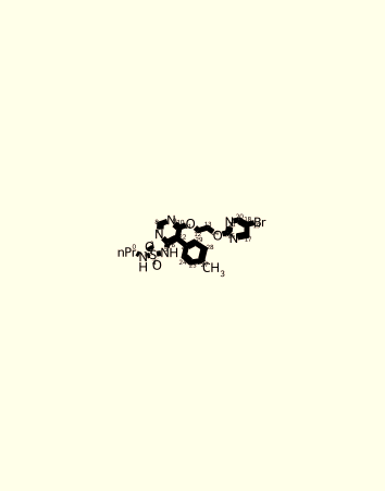 CCCNS(=O)(=O)Nc1ncnc(OCCOc2ncc(Br)cn2)c1-c1ccc(C)cc1